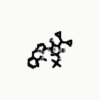 COc1ncccc1Cn1ccc(NC(=O)C(NC(=O)OC(C)(C)C)C(C2CC2)C2CC2)n1